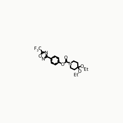 CCOC1(OCC)CCN(C(=O)Oc2ccc(-c3noc(C(F)(F)F)n3)cc2)CC1